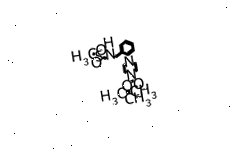 CC(C)(C)OC(=O)N1CCN(c2ccccc2CNCS(C)(=O)=O)CC1